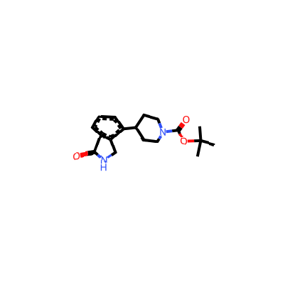 CC(C)(C)OC(=O)N1CCC(c2cccc3c2CNC3=O)CC1